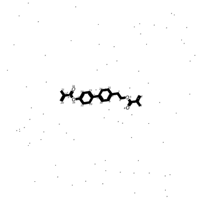 C=C(C)C(=O)OCCC1=CC=C(C2=CC=C(OC(=O)C(=C)C)CC2)CC1